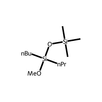 CCCC[Si](CCC)(OC)O[Si](C)(C)C